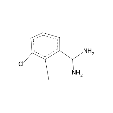 Cc1c(Cl)cccc1C(N)N